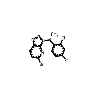 C[C@H](c1ccc(Cl)cc1Cl)n1nnc2ccc(Br)nc21